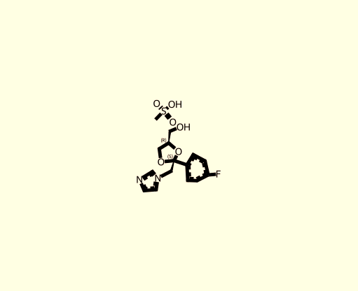 CS(=O)(=O)O.OC[C@@H]1CO[C@@](Cn2ccnc2)(c2ccc(F)cc2)O1